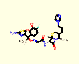 Nc1nc(C(ON=CC(=O)N[C@H]2C(=O)N3C(C(=O)O)=C(/C=C\Cn4ccnc4)CS[C@@H]23)(C(=O)O)c2ccc(F)c(O)c2O)cs1